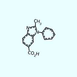 Cc1nc2ccc(C(=O)O)cc2n1-c1ccccc1